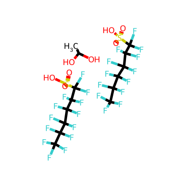 CC(O)O.O=S(=O)(O)C(F)(F)C(F)(F)C(F)(F)C(F)(F)C(F)(F)C(F)(F)F.O=S(=O)(O)C(F)(F)C(F)(F)C(F)(F)C(F)(F)C(F)(F)C(F)(F)F